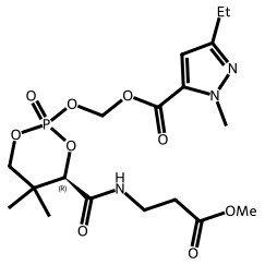 CCc1cc(C(=O)OCOP2(=O)OCC(C)(C)[C@H](C(=O)NCCC(=O)OC)O2)n(C)n1